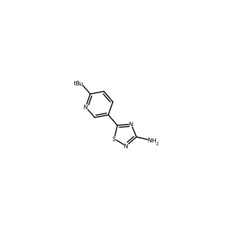 CC(C)(C)c1ccc(-c2nc(N)ns2)cn1